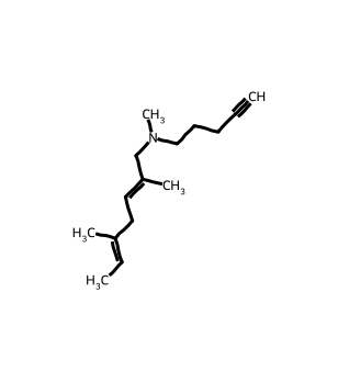 C#CCCCN(C)C/C(C)=C/C/C(C)=C/C